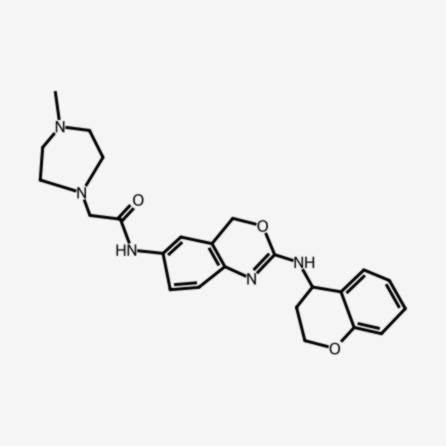 CN1CCN(CC(=O)Nc2ccc3c(c2)COC(NC2CCOc4ccccc42)=N3)CC1